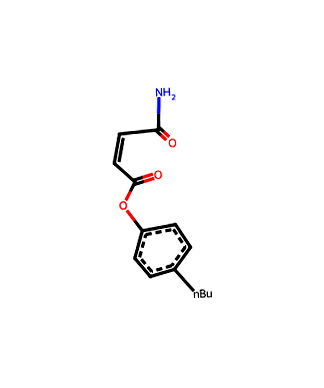 CCCCc1ccc(OC(=O)/C=C\C(N)=O)cc1